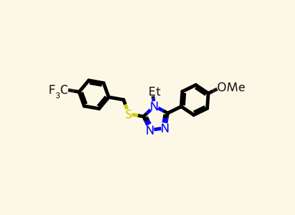 CCn1c(SCc2ccc(C(F)(F)F)cc2)nnc1-c1ccc(OC)cc1